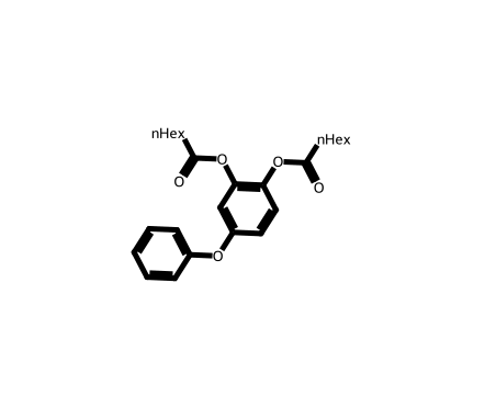 CCCCCCC(=O)Oc1ccc(Oc2ccccc2)cc1OC(=O)CCCCCC